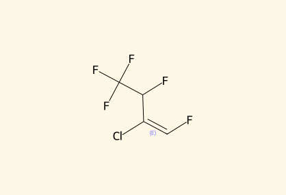 F/C=C(/Cl)C(F)C(F)(F)F